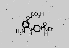 CCNC(=O)N1CCC(Nc2cc(OCC(=O)O)ccc2N)CC1